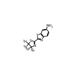 [2H]C1([2H])N=C(c2nc3ccc(N)cc3s2)SC1([2H])[2H]